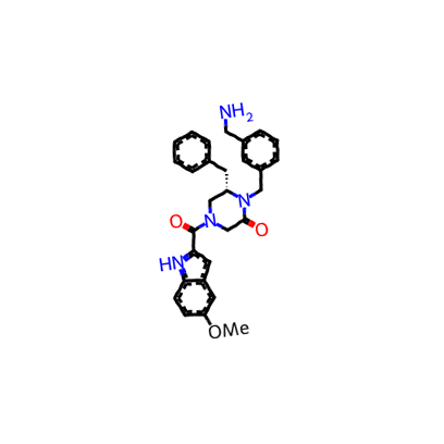 COc1ccc2[nH]c(C(=O)N3CC(=O)N(Cc4cccc(CN)c4)[C@@H](Cc4ccccc4)C3)cc2c1